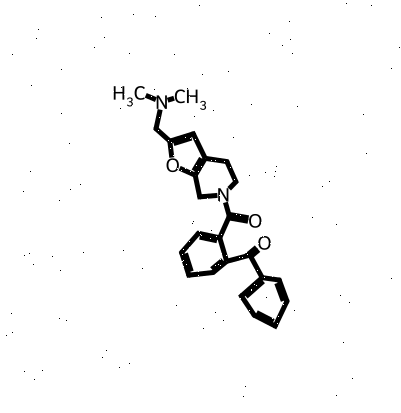 CN(C)Cc1cc2c(o1)CN(C(=O)c1ccccc1C(=O)c1ccccc1)CC2